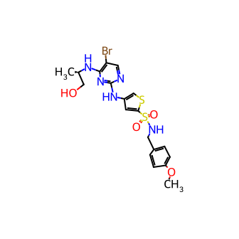 COc1ccc(CNS(=O)(=O)c2cc(Nc3ncc(Br)c(N[C@H](C)CO)n3)cs2)cc1